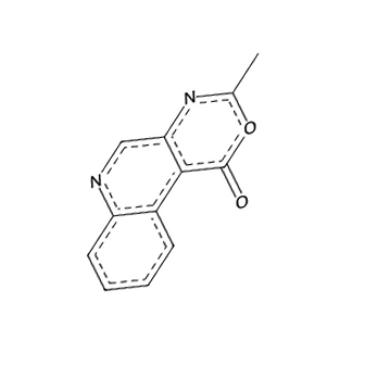 Cc1nc2cnc3ccccc3c2c(=O)o1